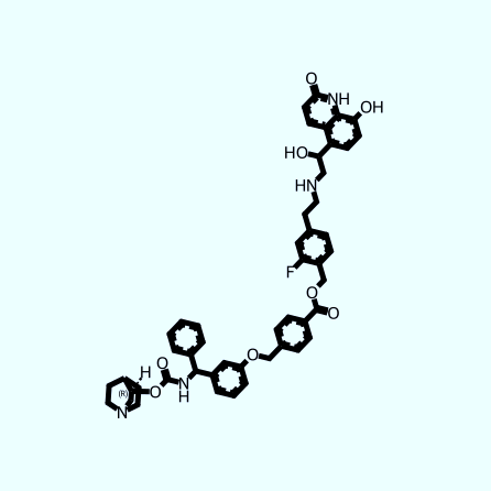 O=C(NC(c1ccccc1)c1cccc(OCc2ccc(C(=O)OCc3ccc(CCNCC(O)c4ccc(O)c5[nH]c(=O)ccc45)cc3F)cc2)c1)O[C@H]1CN2CCC1CC2